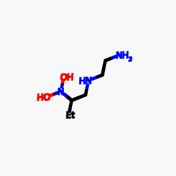 CCC(CNCCN)N(O)O